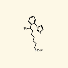 CCCCCCCCCCCCCCCC[C@H](c1ccccc1-n1ccnc1)C(C)C